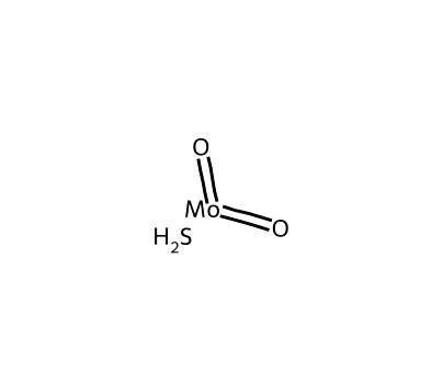 S.[O]=[Mo]=[O]